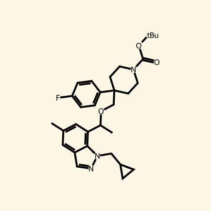 Cc1cc(C(C)OCC2(c3ccc(F)cc3)CCN(C(=O)OC(C)(C)C)CC2)c2c(cnn2CC2CC2)c1